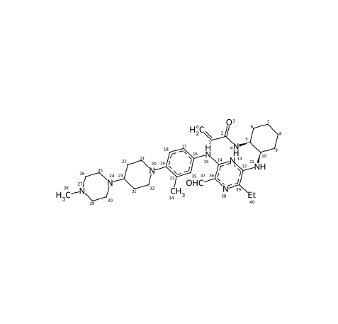 C=CC(=O)N[C@H]1CCCC[C@H]1Nc1nc(Nc2ccc(N3CCC(N4CCN(C)CC4)CC3)c(C)c2)c(C=O)nc1CC